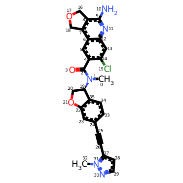 CN(C(=O)c1cc2c3c(c(N)nc2cc1Cl)COC3)[C@@H]1COc2cc(C#Cc3ccnn3C)ccc21